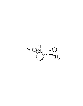 C=C=C(CC/C1=N/c2[nH]c3ccc(C(C)C)cc3c2CCCC=C=C1)OC1CCCCC1